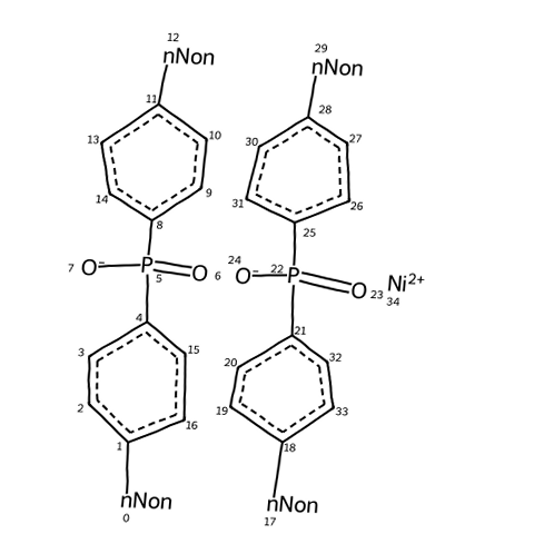 CCCCCCCCCc1ccc(P(=O)([O-])c2ccc(CCCCCCCCC)cc2)cc1.CCCCCCCCCc1ccc(P(=O)([O-])c2ccc(CCCCCCCCC)cc2)cc1.[Ni+2]